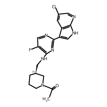 CC(=O)N1CCC[C@@H](CNc2nc(-c3c[nH]c4ncc(Cl)cc34)ncc2F)C1